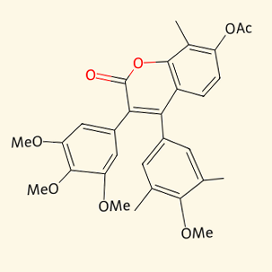 COc1cc(-c2c(-c3cc(C)c(OC)c(C)c3)c3ccc(OC(C)=O)c(C)c3oc2=O)cc(OC)c1OC